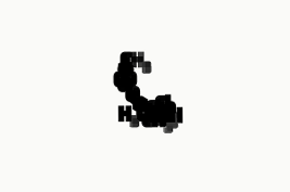 Cc1ccc(S(=O)(=O)OCCOCc2ccc(C(Oc3cn[nH]c(=O)c3Cl)C(C)(C)C)cc2)cc1